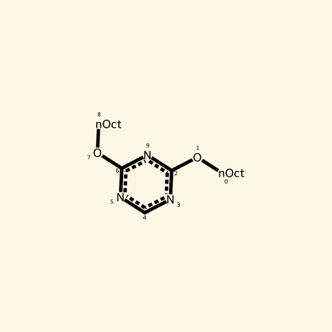 CCCCCCCCOc1n[c]nc(OCCCCCCCC)n1